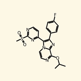 CC(C)Oc1nccn2c(-c3ccnc(S(C)(=O)=O)n3)c(-c3ccc(F)cc3)nc12